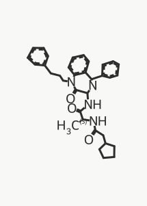 C[C@H](NC(=O)CC1CCCC1)C(=O)NC1N=C(c2ccccc2)c2ccccc2N(CCCc2ccccc2)C1=O